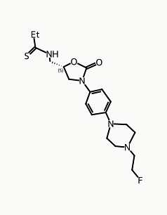 CCC(=S)NC[C@H]1CN(c2ccc(N3CCN(CCF)CC3)cc2)C(=O)O1